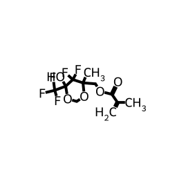 C=C(C)C(=O)OCC1(C)OCOC(O)(C(F)(F)F)C1(F)F